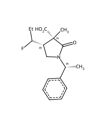 CCC(F)[C@H]1CN([C@H](C)c2ccccc2)C(=O)[C@@]1(C)C(=O)O